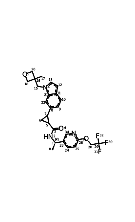 C[C@@H](NC(=O)C1CC1c1ccc2ccn(CC3(C)COC3)c2c1)c1ccc(OCC(F)(F)F)nc1